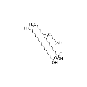 CCCCCCCCCCCCCCCC(=O)O.CCCCCCCCCCCCCCCC(=O)O.CCC[CH2][SnH]